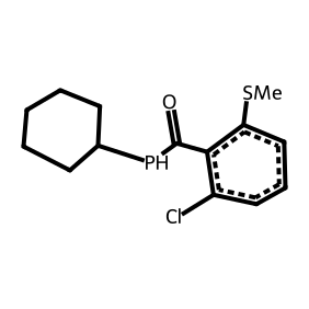 CSc1cccc(Cl)c1C(=O)PC1CCCCC1